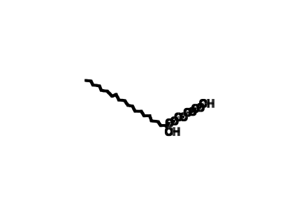 CCCCCCCCCCCCCCCCCCCC(O)OOOOOOOOO